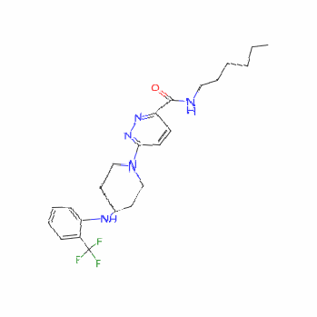 CCCCCCNC(=O)c1ccc(N2CCC(Nc3ccccc3C(F)(F)F)CC2)nn1